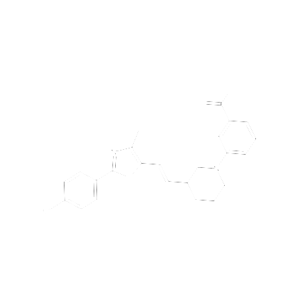 Cc1nc(-c2ccc(Cl)cc2)sc1/C=C/C1CCCN(c2cccc(C(=O)O)c2)C1